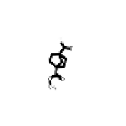 COC(=O)C12CCC(C(F)F)(CC1)C2